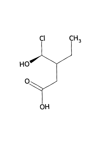 CCC(CC(=O)O)[C@@H](O)Cl